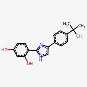 CC(C)(C)c1ccc(-c2c[nH]c(-c3ccc(O)cc3O)n2)cc1